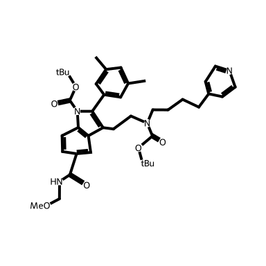 COCNC(=O)c1ccc2c(c1)c(CCN(CCCCc1ccncc1)C(=O)OC(C)(C)C)c(-c1cc(C)cc(C)c1)n2C(=O)OC(C)(C)C